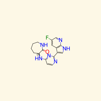 O=C1NCCCC[C@@H]1Nc1ccnc(-c2c[nH]c3ncc(F)cc23)n1